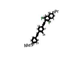 CCCC1CCc2c(cc(F)c(C#Cc3ccc(C#Cc4ccc(SC)cc4)c(C)c3)c2F)C1